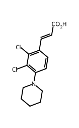 O=C(O)/C=C/c1ccc(N2CCCCC2)c(Cl)c1Cl